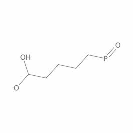 [O]C(O)CCCCP=O